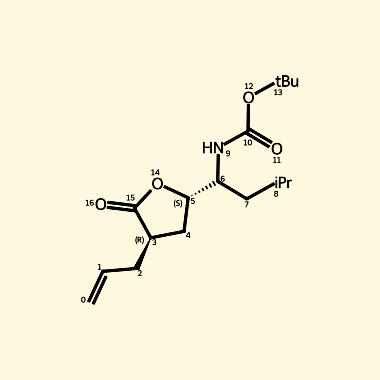 C=CC[C@@H]1C[C@@H](C(CC(C)C)NC(=O)OC(C)(C)C)OC1=O